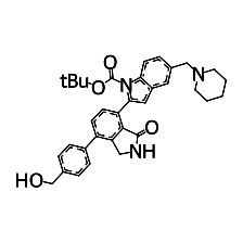 CC(C)(C)OC(=O)n1c(-c2ccc(-c3ccc(CO)cc3)c3c2C(=O)NC3)cc2cc(CN3CCCCC3)ccc21